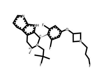 C[C@@H]1Cc2c([nH]c3ncccc23)[C@H](c2c(F)cc(OC3CN(CCCF)C3)cc2F)N1CC(C)(C)F